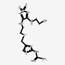 N=C(N)Nc1nc(CSCCNC2=NS(=O)(=O)N=C2NCCO)cs1